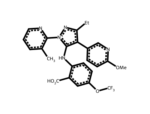 CCc1nn(-c2ncccc2C)c(Nc2ccc(OC(F)(F)F)cc2C(=O)O)c1-c1ccc(OC)nc1